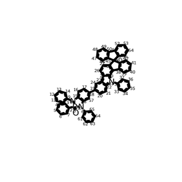 O=P1(c2ccccc2)N(c2ccccc2)c2ccc(-c3ccc4c(c3)c3ccc5c(c3n4-c3ccccc3)-c3ccccc3C53c4ccccc4-c4ccccc43)cc2N1c1ccccc1